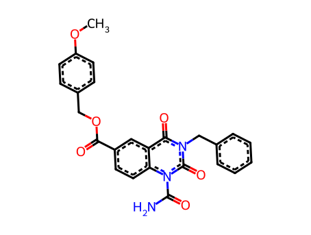 COc1ccc(COC(=O)c2ccc3c(c2)c(=O)n(Cc2ccccc2)c(=O)n3C(N)=O)cc1